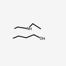 CCCCO.CCNCC